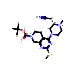 CSc1nc2c(c(N3CCN(C)[C@@H](CC#N)C3)n1)CCN(C(=O)OC(C)(C)C)C2